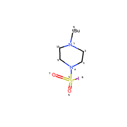 CC(C)(C)N1CCN(S(=O)(=O)I)CC1